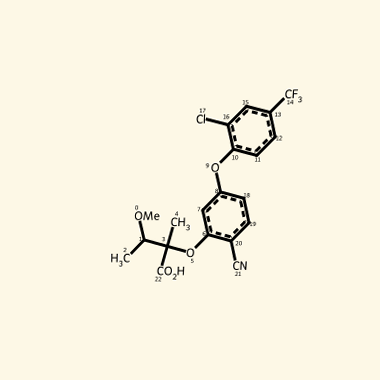 COC(C)C(C)(Oc1cc(Oc2ccc(C(F)(F)F)cc2Cl)ccc1C#N)C(=O)O